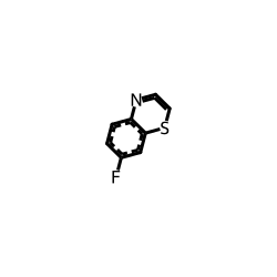 Fc1ccc2c(c1)SC=C=N2